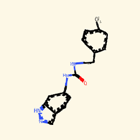 O=C(NCc1ccc(C(F)(F)F)cc1)Nc1ccc2cn[nH]c2c1